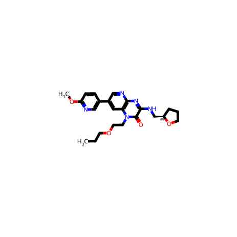 CCCOCCn1c(=O)c(NC[C@H]2CCCO2)nc2ncc(-c3ccc(OC)nc3)cc21